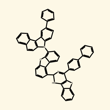 c1ccc(-c2ccc(C3=NC(c4cccc5oc6c(-n7c8ccc(-c9ccccc9)cc8c8c9ccccc9ccc87)cccc6c45)Nc4c3sc3ccccc43)cc2)cc1